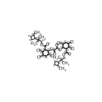 CC1CCC1C(C)(C)COC(=O)c1c(Cl)c(Cl)cc(Cl)c1OC(=O)C(=O)Oc1c(Cl)cc(Cl)c(Cl)c1C(=O)OCC(C)(C)C1CCC1C